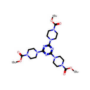 CC(C)(C)OC(=O)N1CCN(c2nc(N3CCN(C(=O)OC(C)(C)C)CC3)nc(N3CCN(C(=O)OC(C)(C)C)CC3)n2)CC1